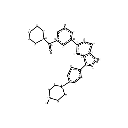 CN1CCN(c2ccc(-c3n[nH]c4cnc(-c5cncc(C(=O)N6CCOCC6)c5)nc34)cc2)CC1